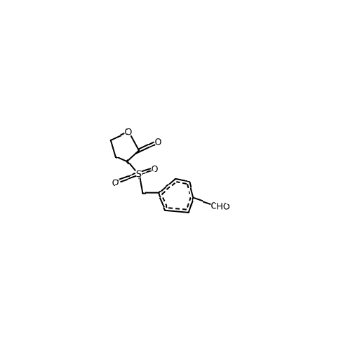 O=Cc1ccc(CS(=O)(=O)C2CCOC2=O)cc1